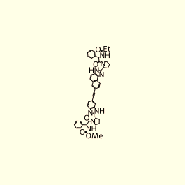 CCC(=O)N[C@H](C(=O)N1CCC[C@H]1c1nc2c(ccc3cc(C#Cc4ccc5nc([C@@H]6CCCN6C(=O)C(NC(=O)OC)c6ccccc6)[nH]c5c4)ccc32)[nH]1)c1ccccc1